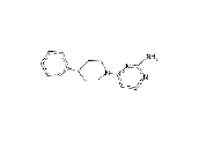 Nc1nccc(N2CCC(c3ccccc3)CC2)n1